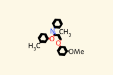 COc1cccc(OC=C(C)/C(=N\c2ccccc2)Oc2cccc(C)c2)c1